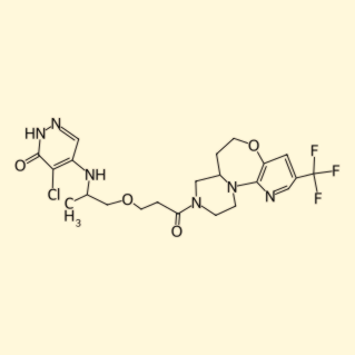 CC(COCCC(=O)N1CCN2c3ncc(C(F)(F)F)cc3OCCC2C1)Nc1cn[nH]c(=O)c1Cl